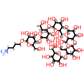 NCCCCO[C@H]1OC(CO)[C@H](O[C@H]2OC(CO)[C@@H](O[C@@H]3OC(CO)[C@@H](O[C@H]4OC(CO)[C@H](O[C@H]5OC(CO)[C@@H](O[C@@H]6OC(CO)[C@@H](O)[C@H](O)C6O)[C@H](O)C5O)[C@H](O)C4O)[C@H](O)C3O)[C@H](O)C2O)[C@H](O)C1O